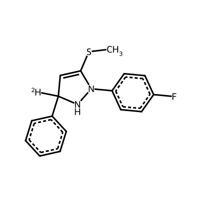 [2H]C1(c2ccccc2)C=C(SC)N(c2ccc(F)cc2)N1